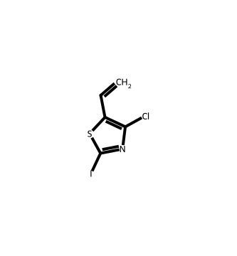 C=Cc1sc(I)nc1Cl